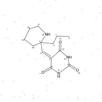 CCCC1(C=C2C(=O)NC(=O)NC2=O)CCCCN1